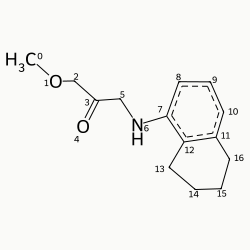 COCC(=O)CNc1cccc2c1CCCC2